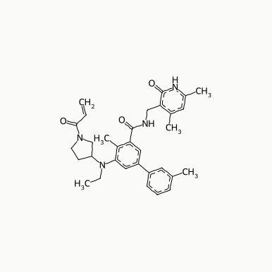 C=CC(=O)N1CCC(N(CC)c2cc(-c3cccc(C)c3)cc(C(=O)NCc3c(C)cc(C)[nH]c3=O)c2C)C1